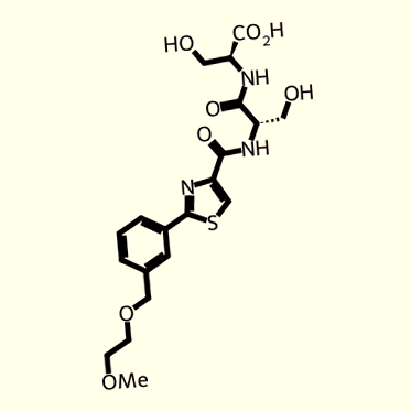 COCCOCc1cccc(-c2nc(C(=O)N[C@@H](CO)C(=O)N[C@@H](CO)C(=O)O)cs2)c1